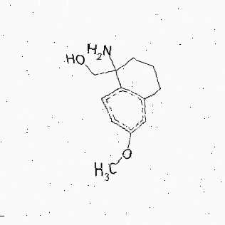 COc1ccc2c(c1)CCCC2(N)CO